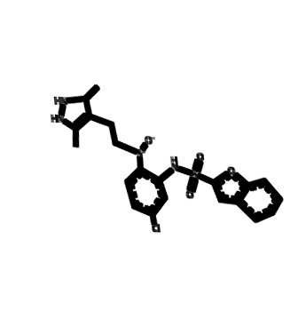 CC1=C(CC[S+]([O-])c2ccc(Cl)cc2NS(=O)(=O)c2cc3ccccc3o2)C(C)NN1